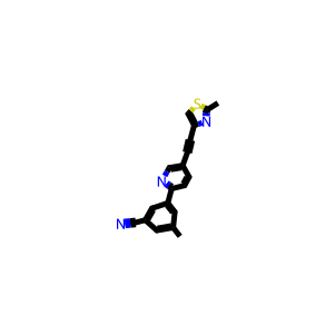 Cc1cc(C#N)cc(-c2ccc(C#Cc3csc(C)n3)cn2)c1